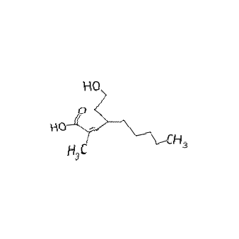 CCCCCC(C=C(C)C(=O)O)CCO